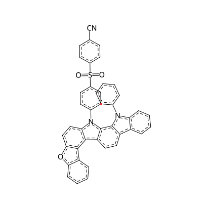 N#Cc1ccc(S(=O)(=O)c2ccc(-n3c4ccc5oc6ccccc6c5c4c4ccc5c6ccccc6n(-c6ccccc6)c5c43)cc2)cc1